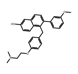 COc1cccc(-c2ccc3cc(O)ccc3c2Cc2ccc(OCCN(C)C)cc2)c1